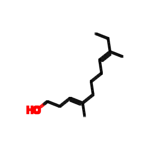 CCC(C)=CCCCC(C)=CCCO